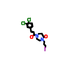 O=C(C=Cc1ccc(Cl)c(Cl)c1)N1CCC(=O)N(CCCI)CC1